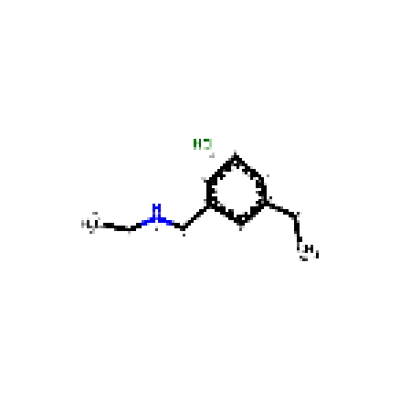 CCNCc1cccc(CC)c1.Cl